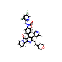 Cc1cc(-c2c(CCC3CCOCC3)nc3c(c2-c2ccc4c(c2)oc(=O)n4Cc2ncc(Cl)cc2F)C(=O)N2CCCCC32)ccn1